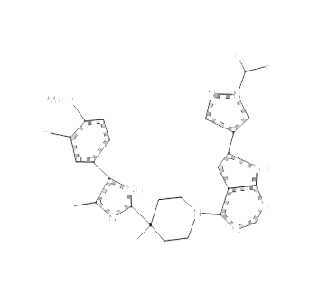 COc1ccc(-c2[nH]c(C3(C)CCN(c4ncnc5[nH]c(-c6cnn(C(F)F)c6)cc45)CC3)nc2C)cc1F